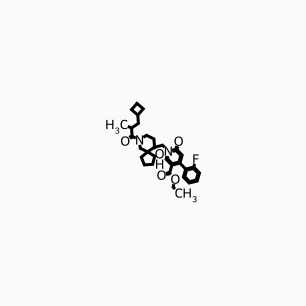 CCOC(=O)c1cn(CC2(O)CCN(C(=O)C(C)CC3CCC3)CC23CCCC3)c(=O)cc1-c1ccccc1F